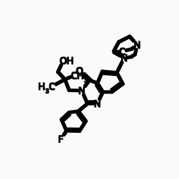 CC(C)(CO)Cn1c(-c2ccc(F)cc2)nc2ccc(N3CCN4CCC3CC4)cc2c1=O